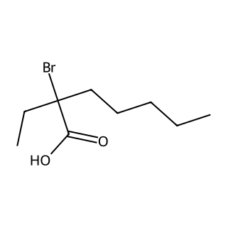 CCCCCC(Br)(CC)C(=O)O